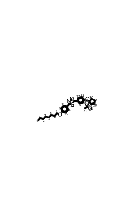 CCCCCCCCOc1ccc(-c2nnc(-c3ccc(O[C@@]4(OC(C)=O)C=CCC4)cc3)s2)cc1